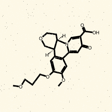 COCCCOc1cc2c(cc1OC)-c1cc(=O)c(C(=O)O)cn1[C@@H]1CCOC[C@H]21